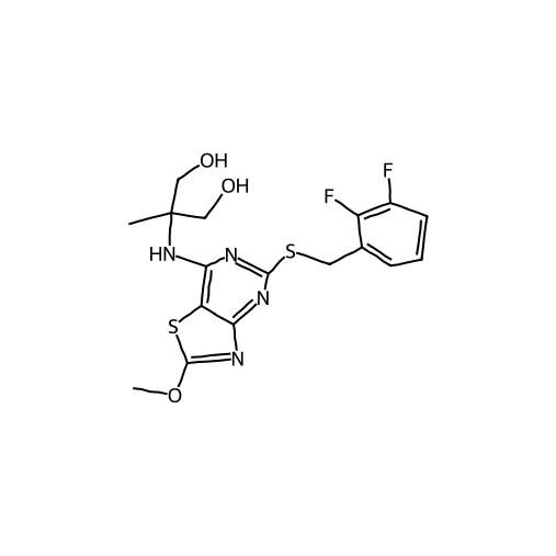 COc1nc2nc(SCc3cccc(F)c3F)nc(NC(C)(CO)CO)c2s1